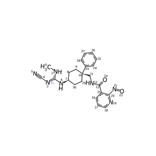 CN/C(=N\C#N)N[C@H]1CC[C@](CNC(=O)c2cccnc2N=O)(c2ccccc2)CC1